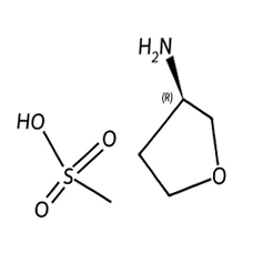 CS(=O)(=O)O.N[C@@H]1CCOC1